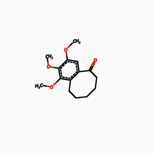 COc1cc2c(c(OC)c1OC)CCCCCC2=O